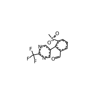 CS(=O)(=O)c1cccc(C=O)c1-c1cnc(C(F)(F)F)nc1